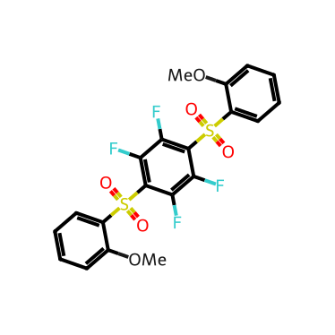 COc1ccccc1S(=O)(=O)c1c(F)c(F)c(S(=O)(=O)c2ccccc2OC)c(F)c1F